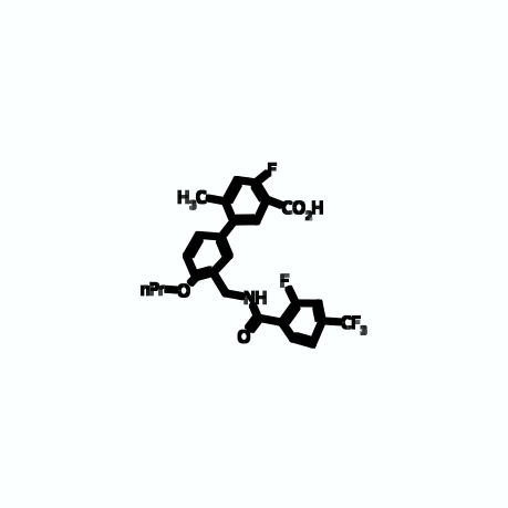 CCCOc1ccc(-c2cc(C(=O)O)c(F)cc2C)cc1CNC(=O)c1ccc(C(F)(F)F)cc1F